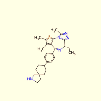 CC[C@@H]1N=C(c2ccc(C3CCC4(CCNC4)CC3)cc2)c2c(sc(C)c2C)-n2c(C)nnc21